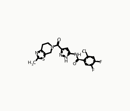 Cc1nc2c(s1)CN(C(=O)c1cc(NC(=O)c3cc(F)c(F)cc3Cl)[nH]n1)CC2